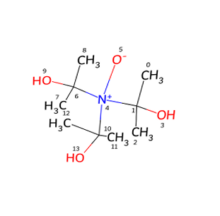 CC(C)(O)[N+]([O-])(C(C)(C)O)C(C)(C)O